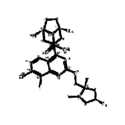 CN1C[C@H](F)C[C@@]1(C)COc1nc(N2C[C@H]3CC[C@@H](C2)N3C(=O)O)c2cnc(Cl)c(F)c2n1